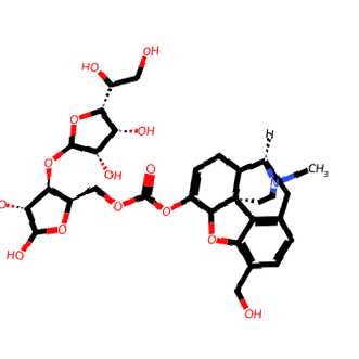 CN1CC[C@]23c4c5ccc(CO)c4OC2C(OC(=O)OC[C@H]2OC(O)[C@H](O)[C@H]2OC2O[C@H](C(O)CO)[C@H](O)[C@@H]2O)=CCC3[C@H]1C5